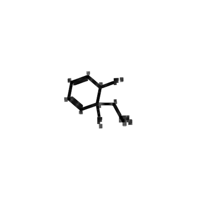 NCC1(F)C=CC=CC1F